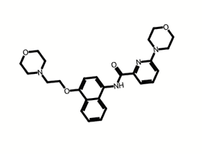 O=C(Nc1ccc(OCCN2CCOCC2)c2ccccc12)c1cccc(N2CCOCC2)n1